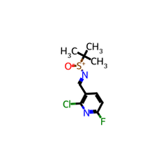 CC(C)(C)[S+]([O-])/N=C/c1ccc(F)nc1Cl